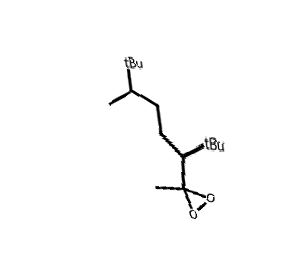 CC(CCC(C(C)(C)C)C1(C)OO1)C(C)(C)C